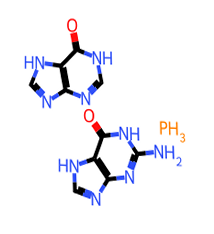 Nc1nc2nc[nH]c2c(=O)[nH]1.O=c1[nH]cnc2nc[nH]c12.P